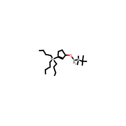 CCC[CH2][Sn]([CH2]CCC)([CH2]CCC)[C]1=CC(O[SiH2][Si](C)(C)C(C)(C)C)CC1